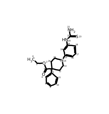 CCOC(=O)C1(c2ccccc2)CCN(c2cccc(NC(N)=S)c2)CC1